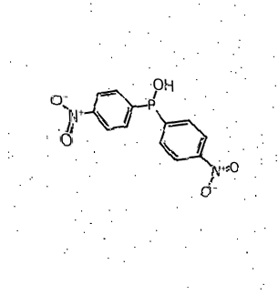 O=[N+]([O-])c1ccc(P(O)c2ccc([N+](=O)[O-])cc2)cc1